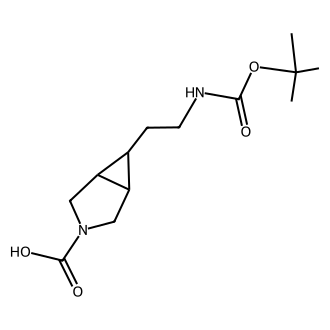 CC(C)(C)OC(=O)NCCC1C2CN(C(=O)O)CC12